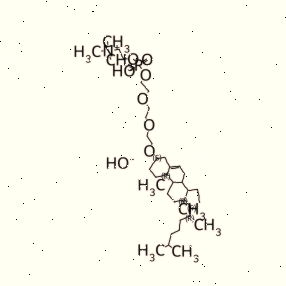 CC(C)CCC[C@@H](C)[C@H]1CCC2C3CC=C4C[C@@H](OCCOCCOCCOP(=O)(O)OCC[N+](C)(C)C)CC[C@]4(C)C3CC[C@@]21C.[OH-]